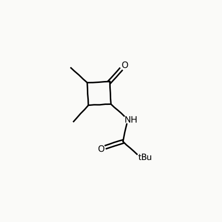 CC1C(=O)C(NC(=O)C(C)(C)C)C1C